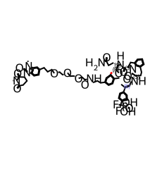 C/C(=C\C(=O)N[C@H]1CCc2cccc3c2N(C1=O)[C@H](C(=O)N[C@@H](CCC(N)=O)[C@@H](C)OCc1ccc(CCCNC(=O)COCCOCCOCCCc2ccc4c(c2)n(C)c(=O)n4C2CCC(=O)N(C)C2=O)cc1)C3)c1ccc(C(F)(F)P(=O)(O)O)cc1